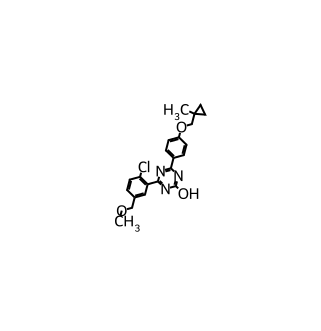 COCc1ccc(Cl)c(-c2nc(O)nc(-c3ccc(OCC4(C)CC4)cc3)n2)c1